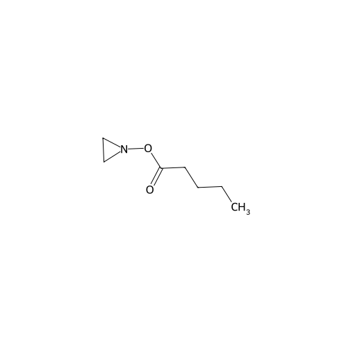 CCCCC(=O)ON1CC1